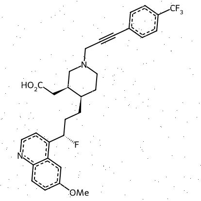 COc1ccc2nccc([C@@H](F)CC[C@@H]3CCN(CC#Cc4ccc(C(F)(F)F)cc4)C[C@@H]3CC(=O)O)c2c1